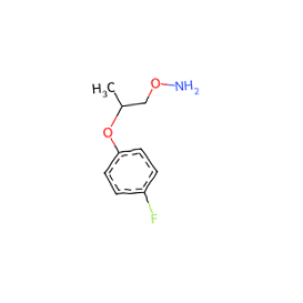 CC(CON)Oc1ccc(F)cc1